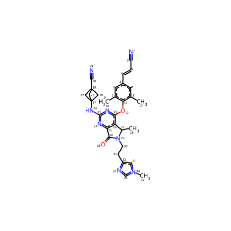 Cc1cc(/C=C/C#N)cc(C)c1Oc1nc(NC23CC(C#N)(C2)C3)nc2c1C(C)N(CCc1cn(C)cn1)C2=O